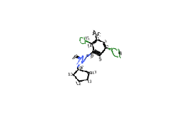 CC(=O)c1cc(Cl)cc(N(C)C2CCCC2)c1Cl